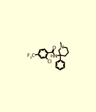 CN1CCCC(NC(=O)c2ccc(C(F)(F)F)cc2Cl)(c2ccccc2)C1